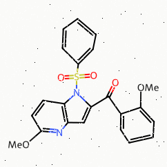 COc1ccc2c(cc(C(=O)c3ccccc3OC)n2S(=O)(=O)c2ccccc2)n1